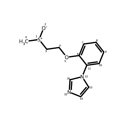 C[S+]([O-])CCOc1ccccc1-n1ccnc1